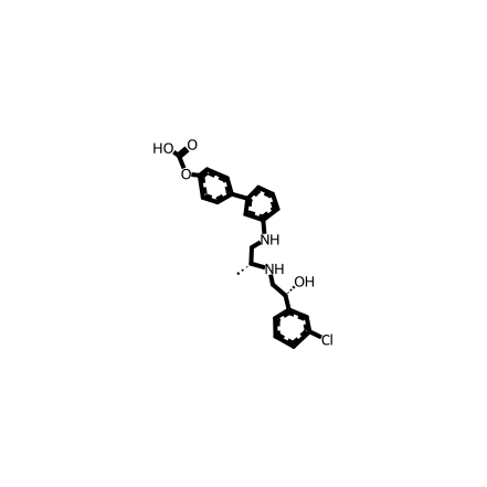 C[C@H](CNc1cccc(-c2ccc(OC(=O)O)cc2)c1)NC[C@H](O)c1cccc(Cl)c1